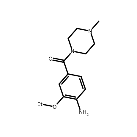 CCOc1cc(C(=O)N2CCN(C)CC2)ccc1N